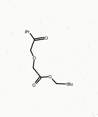 CC(C)C(=O)COCC(=O)OCC(C)(C)C